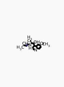 C=C(C)/C=C/N[C@@H](CC)[C@H](O)C1=c2cc(OC)ccc2=NCC1